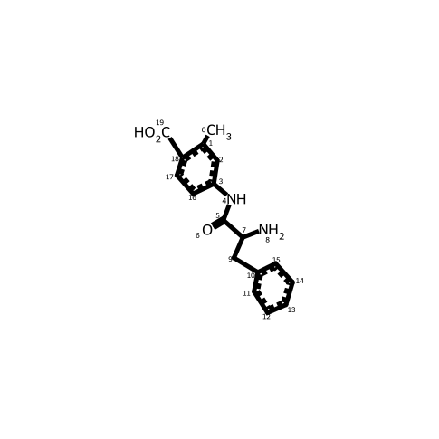 Cc1cc(NC(=O)C(N)Cc2ccccc2)ccc1C(=O)O